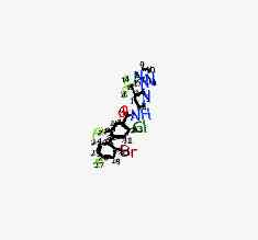 O=C(Nc1cnc(-n2nccn2)c(C(F)(F)F)c1)c1cc(F)c(-c2ccc(F)cc2Br)cc1Cl